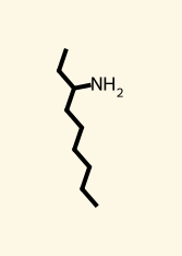 CCCCCCC(N)CC